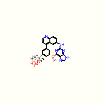 CC(C)Oc1nc(Nc2ccc3nccc(-c4ccccc4)c3c2)nc2[nH]cnc12.CS(=O)(=O)O.CS(=O)(=O)O.O.O